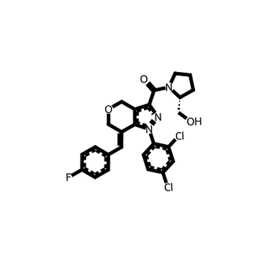 O=C(c1nn(-c2ccc(Cl)cc2Cl)c2c1COC/C2=C\c1ccc(F)cc1)N1CCC[C@@H]1CO